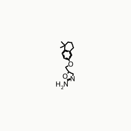 CC1(C)CCCc2cc(OCC3CN=C(N)O3)ccc21